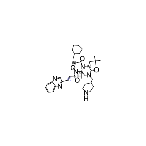 CC(C)(C)C[C@H]1C(=O)N(CC2CCNCC2)C[C@@H]2N(C(=O)/C=C/c3cnc4ccccc4n3)O[C@H](CC3CCCCC3)C(=O)N21